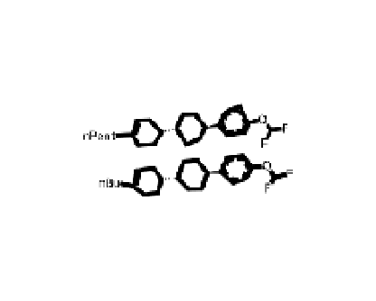 CCCCC1=CCC([C@H]2CC[C@H](c3ccc(OC(F)F)cc3)CC2)CC1.CCCCCC1=CCC([C@H]2CC[C@H](c3ccc(OC(F)F)cc3)CC2)CC1